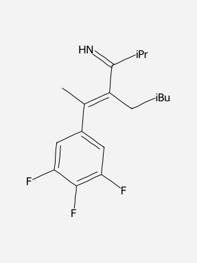 CCC(C)C/C(C(=N)C(C)C)=C(/C)c1cc(F)c(F)c(F)c1